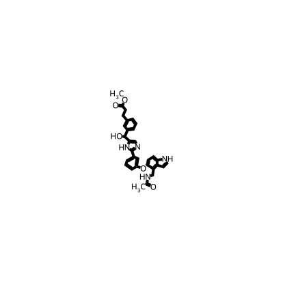 COC(=O)CCc1cccc(C(O)c2cnc(-c3cccc(Oc4ccc5[nH]ccc5c4CNC(C)=O)c3)[nH]2)c1